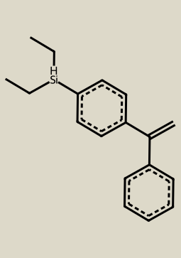 C=C(c1ccccc1)c1ccc([SiH](CC)CC)cc1